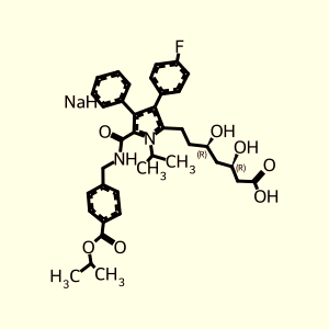 CC(C)OC(=O)c1ccc(CNC(=O)c2c(-c3ccccc3)c(-c3ccc(F)cc3)c(CC[C@@H](O)C[C@@H](O)CC(=O)O)n2C(C)C)cc1.[NaH]